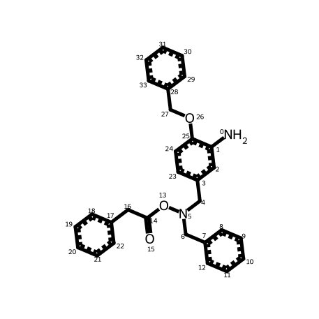 Nc1cc(CN(Cc2ccccc2)OC(=O)Cc2ccccc2)ccc1OCc1ccccc1